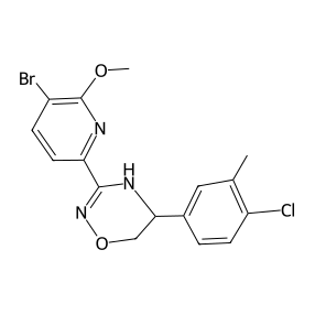 COc1nc(C2=NOCC(c3ccc(Cl)c(C)c3)N2)ccc1Br